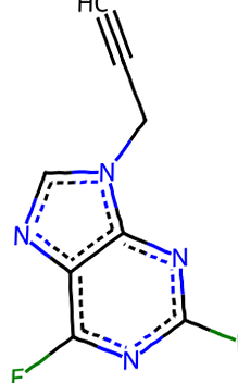 C#CCn1cnc2c(F)nc(F)nc21